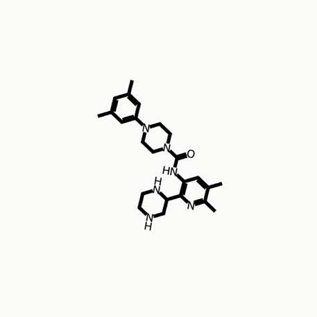 Cc1cc(C)cc(N2CCN(C(=O)Nc3cc(C)c(C)nc3C3CNCCN3)CC2)c1